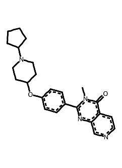 Cn1c(-c2ccc(OC3CCN(C4CCCC4)CC3)cc2)nc2cnccc2c1=O